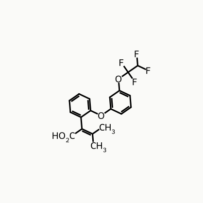 CC(C)=C(C(=O)O)c1ccccc1Oc1cccc(OC(F)(F)C(F)F)c1